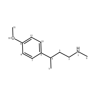 CNCCC(C)c1ccc(OC)cc1